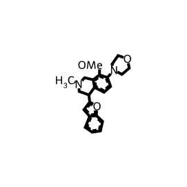 COc1c(N2CCOCC2)ccc2c1CN(C)CC2c1cc2ccccc2o1